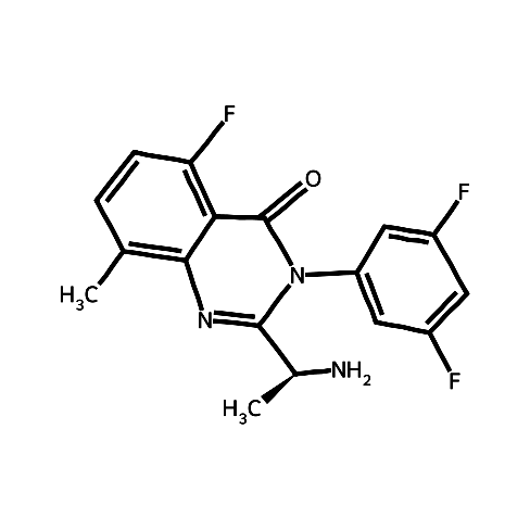 Cc1ccc(F)c2c(=O)n(-c3cc(F)cc(F)c3)c([C@H](C)N)nc12